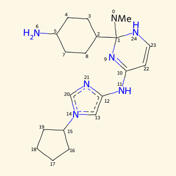 CNC1(C2CCC(N)CC2)N=C(Nc2cn(C3CCCC3)cn2)C=CN1